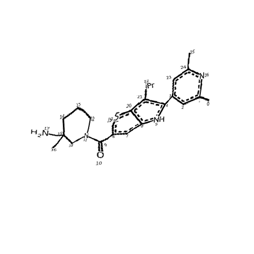 Cc1cc(-c2[nH]c3cc(C(=O)N4CCCC(C)(N)C4)sc3c2C(C)C)cc(C)n1